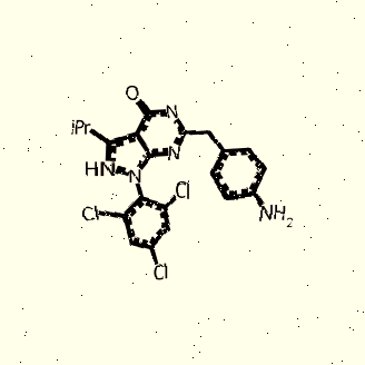 CC(C)c1[nH]n(-c2c(Cl)cc(Cl)cc2Cl)c2nc(Cc3ccc(N)cc3)nc(=O)c1-2